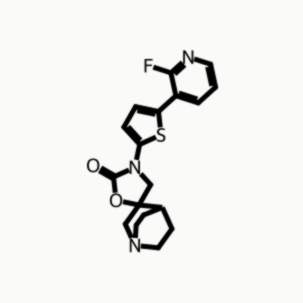 O=C1OC2(CN3CCC2CC3)CN1c1ccc(-c2cccnc2F)s1